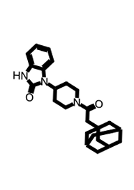 O=C(CC12CC3CC(CC(C3)C1)C2)N1CCC(n2c(=O)[nH]c3ccccc32)CC1